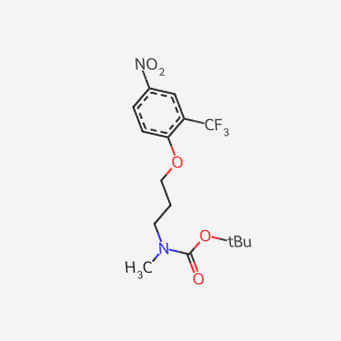 CN(CCCOc1ccc([N+](=O)[O-])cc1C(F)(F)F)C(=O)OC(C)(C)C